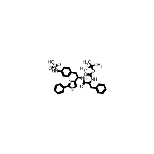 CC(C)(C)OC(=O)NC(Cc1ccccc1)C(=O)NC(Cc1ccc(NS(=O)(=O)O)cc1)c1csc(-c2ccccc2)n1